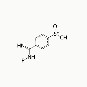 C[S+]([O-])c1ccc(C(=N)NF)cc1